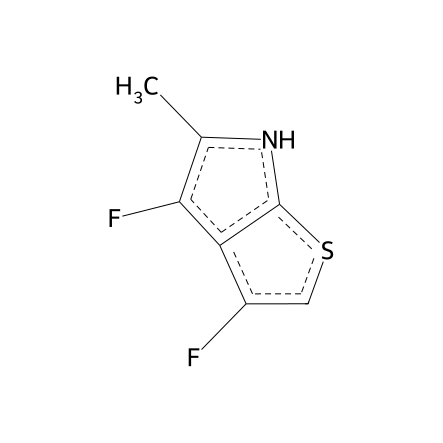 Cc1[nH]c2scc(F)c2c1F